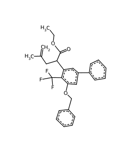 C=C(C)CC(C(=O)OCC)c1cc(-c2ccccc2)cc(OCc2ccccc2)c1C(F)(F)F